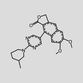 COc1cc2cc3c(c(-c4cnc(N5CCCC(C)C5)nc4)c2cc1OC)C(=O)OC3